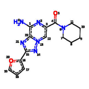 Nc1nc(C(=O)N2CCCCC2)cn2nc(-c3ccco3)nc12